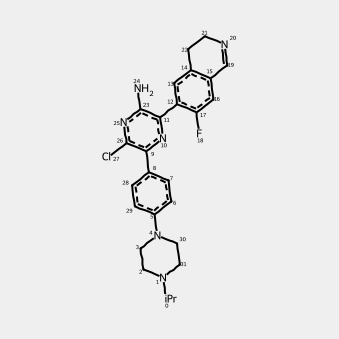 CC(C)N1CCN(c2ccc(-c3nc(-c4cc5c(cc4F)C=NCC5)c(N)nc3Cl)cc2)CC1